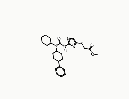 COC(=O)CSc1cnc(NC(=O)N(C2CCCCC2)C2CCC(c3ccccc3)CC2)s1